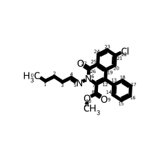 CCCCC=Nn1c(C(=O)OC)c(-c2ccccc2)c2cc(Cl)ccc2c1=O